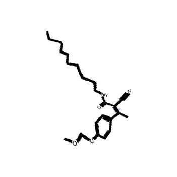 CCCCCCCCCCNC(=O)/C(C#N)=C(/C)c1ccc(OCOC)cc1